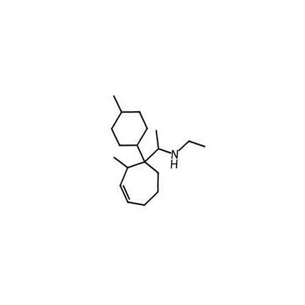 CCNC(C)C1(C2CCC(C)CC2)CCCC=CC1C